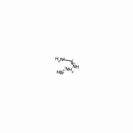 Br.N.N=CN